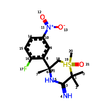 CC1(C)C(=N)N[C@](C)(c2cc([N+](=O)[O-])ccc2F)C[SH]1(C)=O